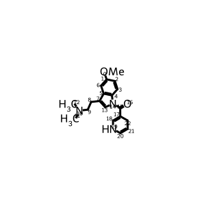 COc1ccc2c(c1)c(CCN(C)C)cn2C(=O)C1=CNC=CC1